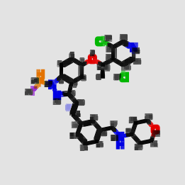 C[C@@H](Oc1ccc2c(c1)c(/C=C/c1cccc(CNC3CCOCC3)c1)nn2PI)c1c(Cl)cncc1Cl